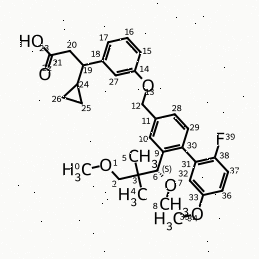 COCC(C)(C)[C@@H](OC)c1cc(COc2cccc(C(CC(=O)O)C3CC3)c2)ccc1-c1cc(OC)ccc1F